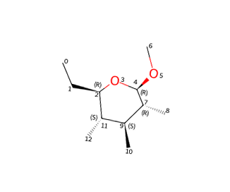 CC[C@H]1O[C@@H](OC)[C@H](C)[C@@H](C)[C@@H]1C